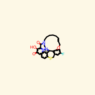 O=C1c2c(O)c(=O)ccn2N2CN1CCCCC/C=C/COc1cc(F)cc3c1[C@H]2c1ccccc1SC3